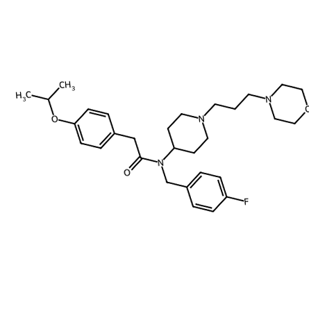 CC(C)Oc1ccc(CC(=O)N(Cc2ccc(F)cc2)C2CCN(CCCN3CCOCC3)CC2)cc1